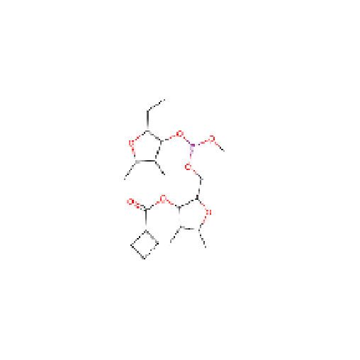 CCC1OC(C)C(C)C1OP(OC)OCC1OC(C)C(C)C1OC(=O)C1CCC1